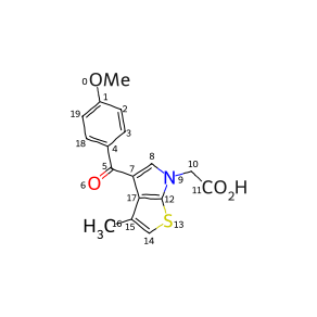 COc1ccc(C(=O)c2cn(CC(=O)O)c3scc(C)c23)cc1